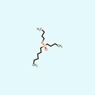 CCCCCCP(=O)(CCCC)OCCCC